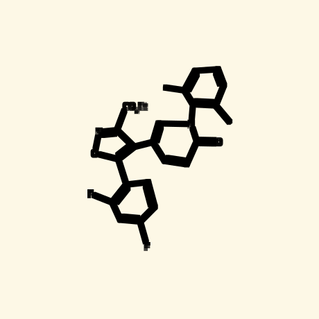 CCOC(=O)c1noc(-c2ccc(F)cc2F)c1-c1ccc(=O)n(-c2c(C)cccc2C)c1